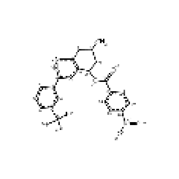 CC1Cc2nnc(-c3cccc(C(F)(F)F)c3)cc2C(OC(=O)c2ccc([N+](=O)[O-])cc2)C1